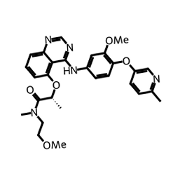 COCCN(C)C(=O)[C@@H](C)Oc1cccc2ncnc(Nc3ccc(Oc4ccc(C)nc4)c(OC)c3)c12